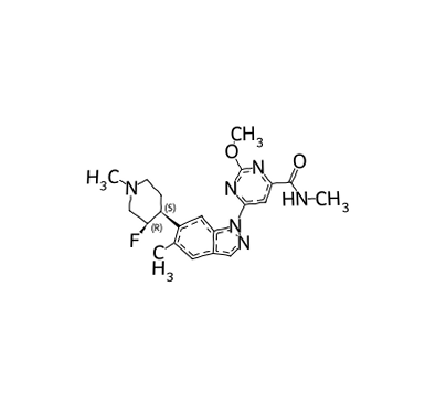 CNC(=O)c1cc(-n2ncc3cc(C)c([C@@H]4CCN(C)C[C@@H]4F)cc32)nc(OC)n1